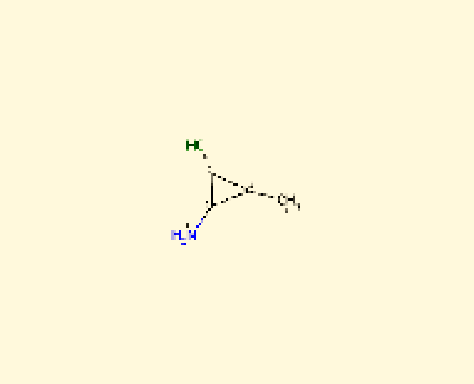 CC1CC1N.Cl